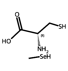 C[SeH].N[C@@H](CS)C(=O)O